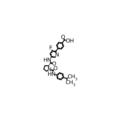 CC(C)c1ccc(NC(=O)N2CCC[C@H]2C(=O)Nc2cnc(-c3ccc(C(=O)O)cc3)c(F)c2)cc1